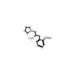 COc1ccccc1CC(N)CN1CCCC1